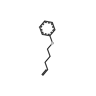 C=CCCCOc1c[c]ccc1